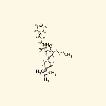 CCCCn1cc(-c2ccc(C(C)(C)C)cc2)cc(C(=O)NCCCN2CCOCC2)c1=O